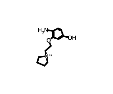 C[N+]1(CCOc2cc(O)ccc2N)CCCC1